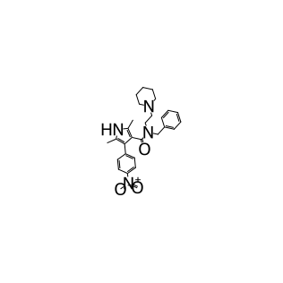 Cc1[nH]c(C)c(-c2ccc([N+](=O)[O-])cc2)c1C(=O)N(CCN1CCCCC1)Cc1ccccc1